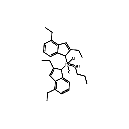 CCC[SiH]=[Hf]([Cl])([Cl])([CH]1C(CC)=Cc2c(CC)cccc21)[CH]1C(CC)=Cc2c(CC)cccc21